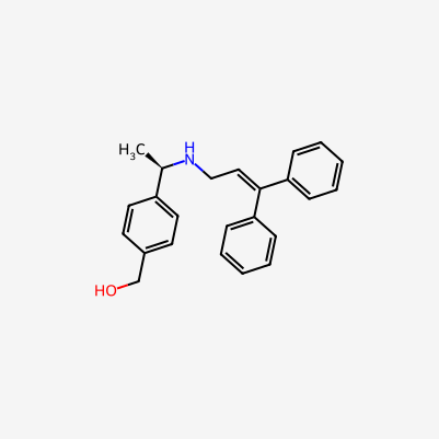 C[C@@H](NCC=C(c1ccccc1)c1ccccc1)c1ccc(CO)cc1